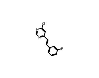 Fc1cccc(C=Cc2cc(Cl)ncn2)c1